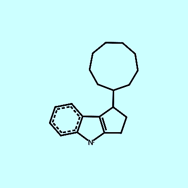 c1ccc2c(c1)[N]C1=C2C(C2CCCCCCCC2)CC1